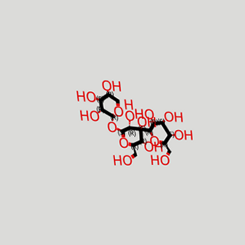 OC[C@H]1O[C@@H]([C@]2(O)[C@H](O)[C@@H](CO)O[C@@H](O[C@H]3OC[C@@H](O)[C@H](O)[C@H]3O)[C@@H]2O)[C@H](O)[C@@H](O)[C@@H]1O